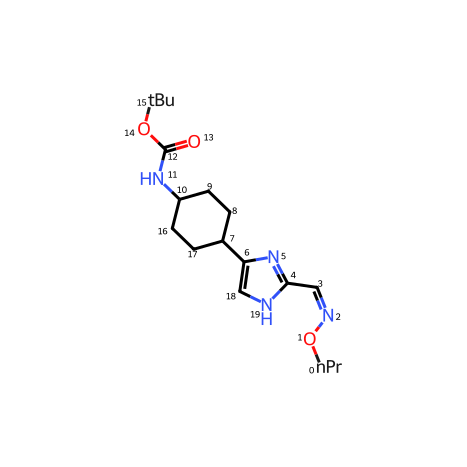 CCCO/N=C\c1nc(C2CCC(NC(=O)OC(C)(C)C)CC2)c[nH]1